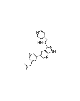 CN(C)Cc1cncc(-c2cnc3[nH]nc(-c4cc5ccncc5[nH]4)c3c2)c1